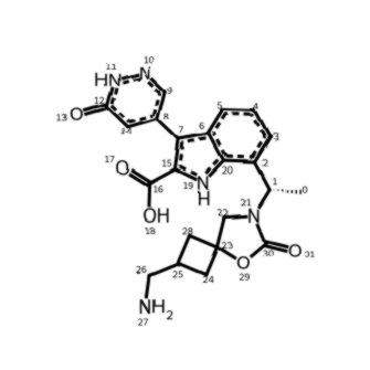 C[C@@H](c1cccc2c(-c3cn[nH]c(=O)c3)c(C(=O)O)[nH]c12)N1CC2(CC(CN)C2)OC1=O